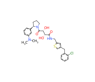 CN(C)c1cccc([C@H]2CCCN2C(=O)[C@H](O)[C@@H](O)C(=O)NCc2cc(Cc3ccccc3Cl)cs2)c1